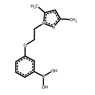 Cc1cc(C)n(CCOc2cccc(B(O)O)c2)n1